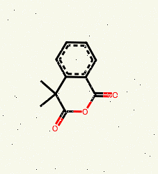 CC1(C)C(=O)OC(=O)c2ccccc21